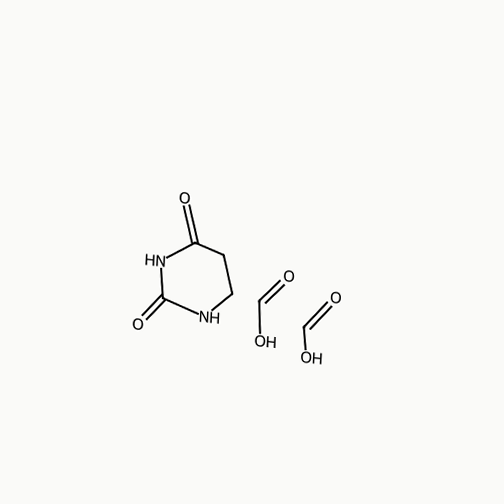 O=C1CCNC(=O)N1.O=CO.O=CO